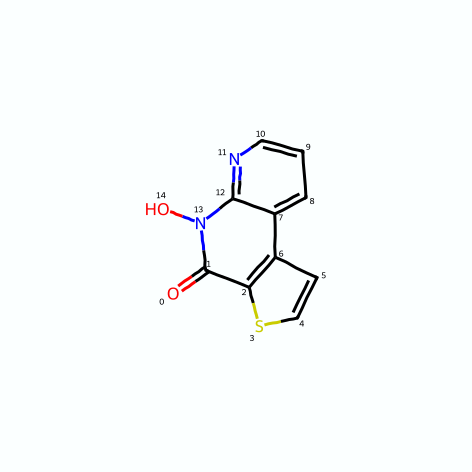 O=c1c2sccc2c2cccnc2n1O